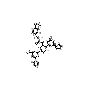 O=C(CC1CN(c2cc(Cl)nc(-n3ccnc3)n2)CCN1c1cc(Cl)nc(-n2ccnc2)n1)NCc1ccc2c(c1)OCO2